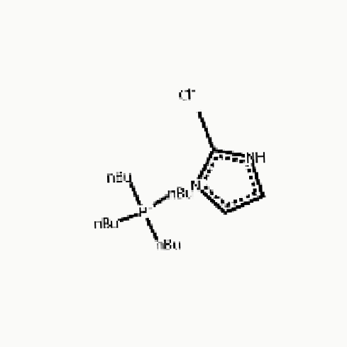 CCCC[P+](CCCC)(CCCC)CCCC.Cc1ncc[nH]1.[Cl-]